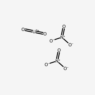 O=[N+]([O-])[O-].O=[N+]([O-])[O-].[O]=[U+2]=[O]